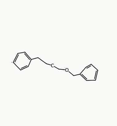 [c]1ccc(CCCCOCc2ccccc2)cc1